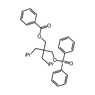 CC(C)CC(COC(=O)c1ccccc1)(COP(=O)(c1ccccc1)c1ccccc1)CC(C)C